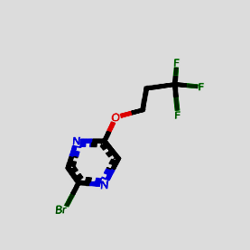 FC(F)(F)CCOc1cnc(Br)cn1